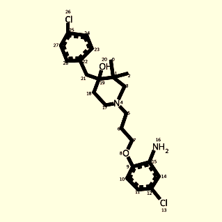 CC1(C)CN(CCCOc2ccc(Cl)cc2N)CCC1(O)Cc1ccc(Cl)cc1